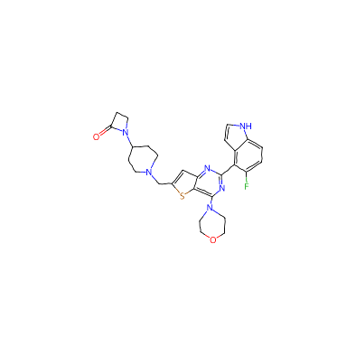 O=C1CCN1C1CCN(Cc2cc3nc(-c4c(F)ccc5[nH]ccc45)nc(N4CCOCC4)c3s2)CC1